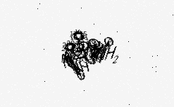 N[C@]1(NC=O)C(=O)N2C(C(=O)OC(c3ccccc3)c3ccccc3)=C(CSc3nnnn3NC=O)CS[C@H]21